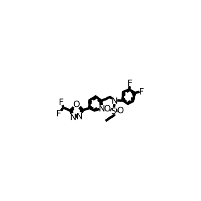 CCS(=O)(=O)N(Cc1ccc(-c2nnc(C(F)F)o2)cn1)c1ccc(F)c(F)c1